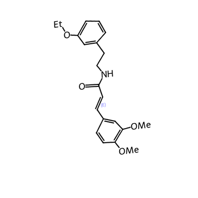 CCOc1cccc(CCNC(=O)/C=C/c2ccc(OC)c(OC)c2)c1